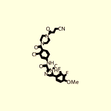 COc1ccc(-c2cnc(C(=O)Nc3ccc(C(=O)N4CCN(C(=O)CCC#N)CC4)c(Cl)c3)n2C)c(F)c1F